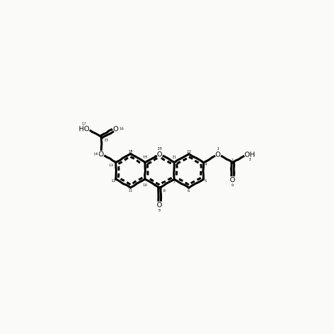 O=C(O)Oc1ccc2c(=O)c3ccc(OC(=O)O)cc3oc2c1